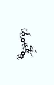 CSc1nc(N)cc(Oc2ccc(-c3nnc(Nc4cc(C(C)(C)C)nn4-c4ccc5[nH]c(=O)ccc5c4)[nH]3)cc2)n1